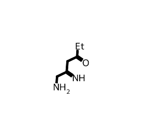 CCC(=O)CC(=N)CN